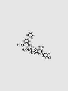 CC(C)(C)c1cc(-c2ccc(Cl)c(F)c2)nc2cc(C(=O)N3CCN(c4cc(-c5ccccc5)ccc4C(=O)O)CC3(C)C)oc12